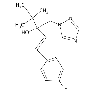 CC(C)(C)C(O)(C=Cc1ccc(F)cc1)Cn1cncn1